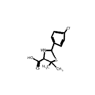 CC1(C)SC(c2ccc(Cl)cc2)NC1C(=O)O